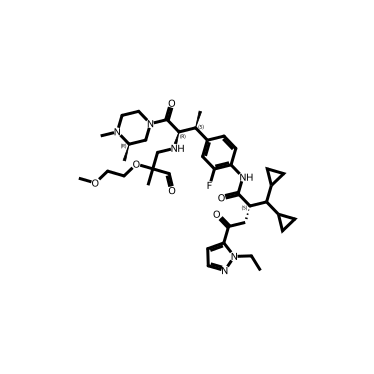 CCn1nccc1C(=O)C[C@H](C(=O)Nc1ccc([C@H](C)[C@@H](NCC(C)(C=O)OCCOC)C(=O)N2CCN(C)[C@H](C)C2)cc1F)C(C1CC1)C1CC1